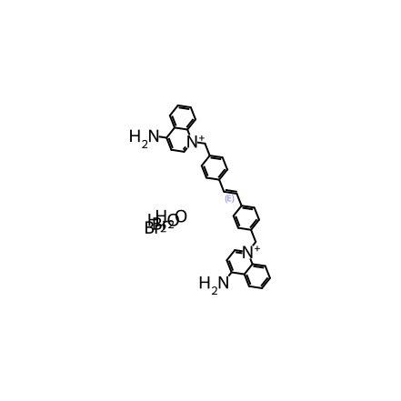 Nc1cc[n+](Cc2ccc(/C=C/c3ccc(C[n+]4ccc(N)c5ccccc54)cc3)cc2)c2ccccc12.O.O.[Br-].[Br-]